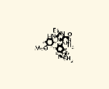 CCc1nc(C(N)=O)c(Nc2cccc(S(C)(=O)=O)c2)nc1N[C@H]1CC[C@H](OC)CC1